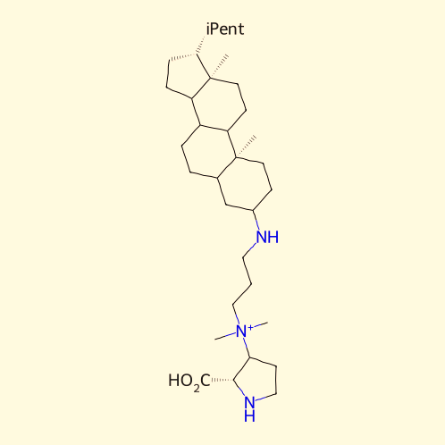 CCC[C@@H](C)[C@H]1CCC2C3CCC4CC(NCCC[N+](C)(C)C5CCN[C@@H]5C(=O)O)CC[C@]4(C)C3CC[C@@]21C